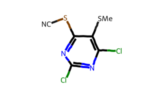 CSc1c(Cl)nc(Cl)nc1SC#N